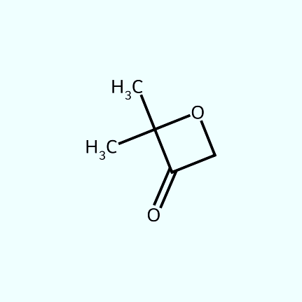 CC1(C)OCC1=O